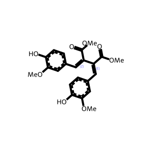 COC(=O)C(=C\c1ccc(O)c(OC)c1)/C(=C\c1ccc(O)c(OC)c1)C(=O)OC